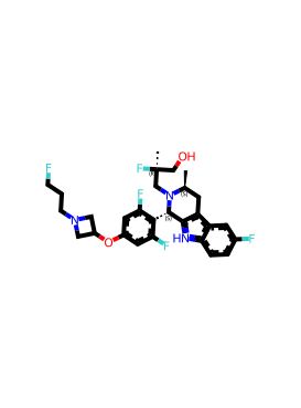 C[C@H]1Cc2c([nH]c3ccc(F)cc23)[C@H](c2c(F)cc(OC3CN(CCCF)C3)cc2F)N1C[C@@](C)(F)CO